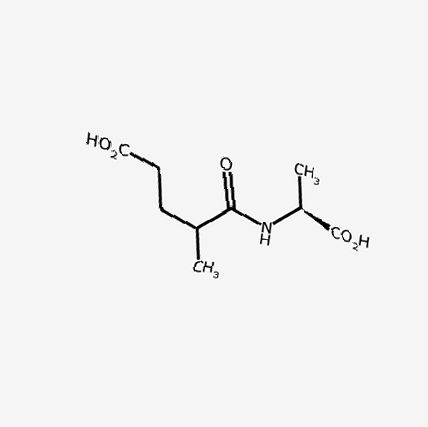 CC(CCC(=O)O)C(=O)N[C@@H](C)C(=O)O